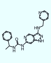 CC(NC(=O)Nc1cc2[nH]nc(NCc3cccnc3)c2cn1)c1ccccc1